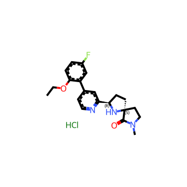 CCOc1ccc(F)cc1-c1ccnc([C@H]2CC[C@@]3(CCN(C)C3=O)N2)c1.Cl